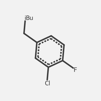 CCC(C)Cc1ccc(F)c(Cl)c1